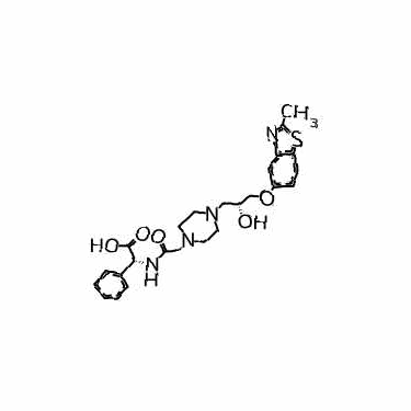 Cc1nc2cc(OC[C@H](O)CN3CCN(CC(=O)N[C@@H](C(=O)O)c4ccccc4)CC3)ccc2s1